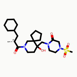 C[C@H](CC1CCCCC1)C(=O)N1CCC(O)(CN2CCN(S(C)(=O)=O)CC2=O)C2(CCCC2)C1